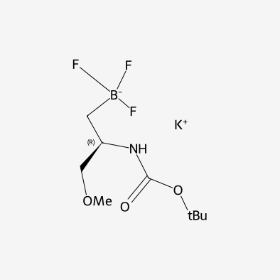 COC[C@@H](C[B-](F)(F)F)NC(=O)OC(C)(C)C.[K+]